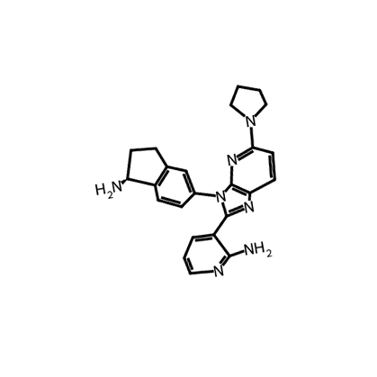 Nc1ncccc1-c1nc2ccc(N3CCCC3)nc2n1-c1ccc2c(c1)CC[C@@H]2N